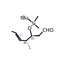 C/C=C/[C@@H](C)[C@H](CC=O)O[Si](C)(C)C(C)(C)C